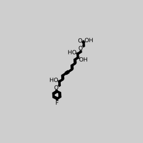 O=C(O)COC[C@@H](O)[C@@H](O)C=CC=CC#CC=C[C@@H](O)COc1ccc(F)cc1